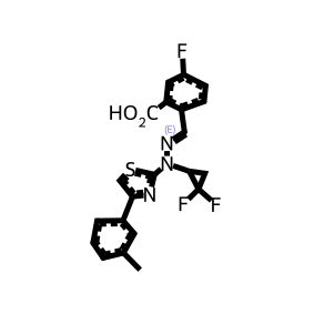 Cc1cccc(-c2csc(N(/N=C/c3ccc(F)cc3C(=O)O)C3CC3(F)F)n2)c1